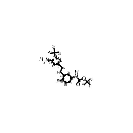 CC(C)(C)OC(=O)Nc1ccc(F)c(CCc2cc(N)n(C(C)(C)C)n2)c1